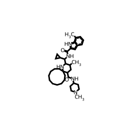 Cc1cccc2cc(C(=O)NC(C3CC3)C3NC4(CCCCCCCCCC4)C(C(=O)NC4CCN(C)CC4)CC3C)[nH]c12